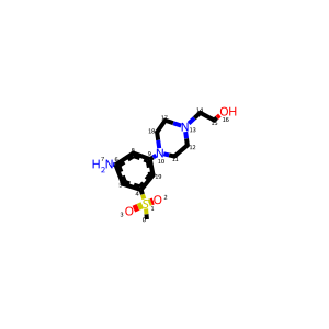 CS(=O)(=O)c1cc(N)cc(N2CCN(CCO)CC2)c1